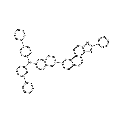 c1ccc(-c2ccc(N(c3cccc(-c4ccccc4)c3)c3ccc4cc(-c5ccc6ccc7c(ccc8nc(-c9ccccc9)oc87)c6c5)ccc4c3)cc2)cc1